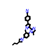 CCCC1CN(c2ccc3c(c2)Cn2cc(-c4ccc(C#N)cc4)cc2-c2ncc(C)n2-3)C1